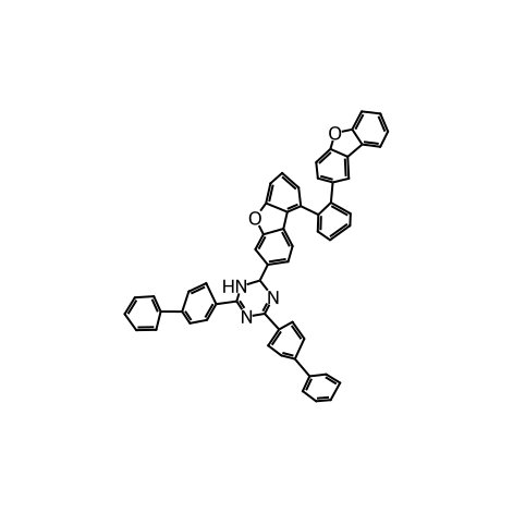 c1ccc(-c2ccc(C3=NC(c4ccc5c(c4)oc4cccc(-c6ccccc6-c6ccc7oc8ccccc8c7c6)c45)NC(c4ccc(-c5ccccc5)cc4)=N3)cc2)cc1